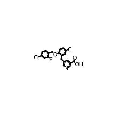 O=C(O)c1cncc(Cc2cc(Cl)ccc2OCc2ccc(Cl)cc2F)c1